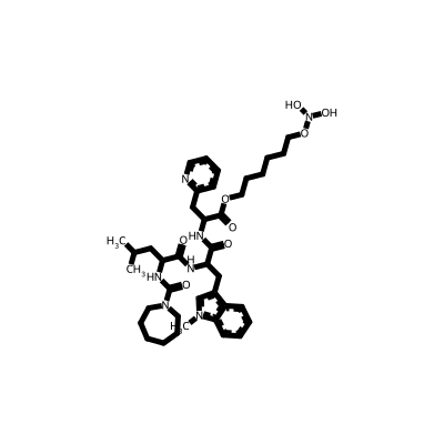 CC(C)CC(NC(=O)N1CCCCCC1)C(=O)NC(Cc1cn(C)c2ccccc12)C(=O)NC(Cc1ccccn1)C(=O)OCCCCCCON(O)O